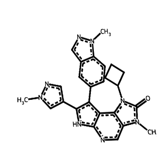 Cn1cc(-c2[nH]c3ncc4c(c3c2-c2ccc3c(cnn3C)c2)n(C2CCC2)c(=O)n4C)cn1